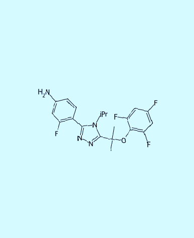 CC(C)n1c(-c2ccc(N)cc2F)nnc1C(C)(C)Oc1c(F)cc(F)cc1F